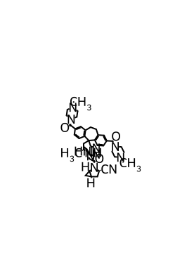 C[C@@H](CC1(c2nnn[nH]2)c2ccc(C(=O)N3CCN(C)CC3)cc2CCc2cc(C(=O)N3CCN(C)CC3)ccc21)NCC(=O)N1[C@H](C#N)C[C@@H]2C[C@@H]21